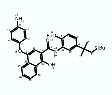 CC(C)COc1ccc(C(C)(C)CC(C)(C)C)cc1NC(=O)c1cc(Oc2ccc(N)cc2)c2ccccc2c1O